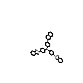 c1ccc2cc(-c3ccc(N(c4ccc(-n5nc6ccccc6n5)cc4)c4ccc(-n5nc6ccccc6n5)cc4)cc3)ccc2c1